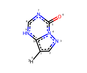 [3H]c1cnn2c(=O)nc[nH]c12